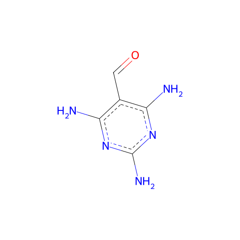 Nc1nc(N)c(C=O)c(N)n1